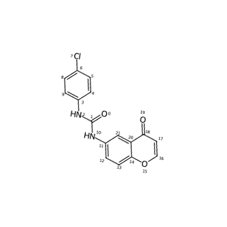 O=C(Nc1ccc(Cl)cc1)Nc1ccc2occc(=O)c2c1